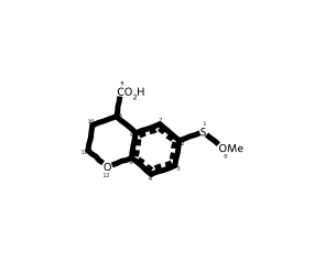 COSc1ccc2c(c1)C(C(=O)O)CCO2